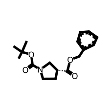 CC(C)(C)OC(=O)N1CC[C@@H](C(=O)OCc2ccccc2)C1